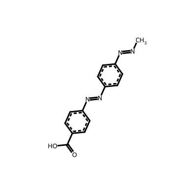 CN=Nc1ccc(N=Nc2ccc(C(=O)O)cc2)cc1